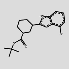 CC(C)(C)OC(=O)N1CCCC(c2nc3c(Br)cccc3[nH]2)C1